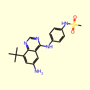 CC(C)(C)c1cc(N)cc2c(Nc3ccc(NS(C)(=O)=O)cc3)ncnc12